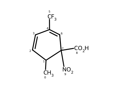 CC1C=CC(C(F)(F)F)=CC1(C(=O)O)[N+](=O)[O-]